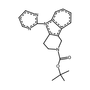 CC(C)(C)OC(=O)N1CCc2c(c3ccccc3n2-c2ncccn2)C1